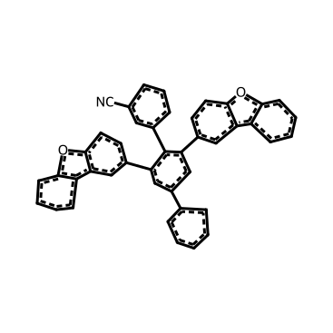 N#Cc1cccc(-c2c(-c3ccc4oc5ccccc5c4c3)cc(-c3ccccc3)cc2-c2ccc3oc4ccccc4c3c2)c1